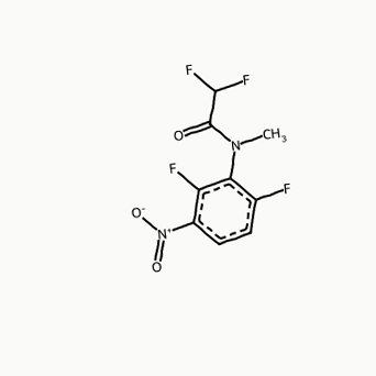 CN(C(=O)C(F)F)c1c(F)ccc([N+](=O)[O-])c1F